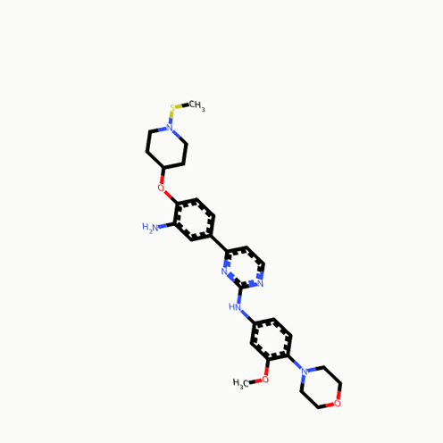 COc1cc(Nc2nccc(-c3ccc(OC4CCN(SC)CC4)c(N)c3)n2)ccc1N1CCOCC1